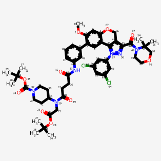 COc1cc2c(cc1-c1cccc(NC(=O)CCC(=O)N(CC(=O)OC(C)(C)C)C3CCN(C(=O)OC(C)(C)C)CC3)c1)-c1c(c(C(=O)N3CCOCC3(C)C)nn1-c1cc(Cl)cc(Cl)c1)CO2